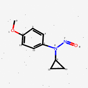 COc1ccc(N(N=O)C2CC2)cc1